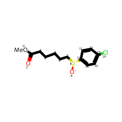 COC(=O)CCCCC[S@+]([O-])c1ccc(Cl)cc1